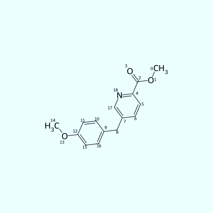 COC(=O)c1ccc(Cc2ccc(OC)cc2)cn1